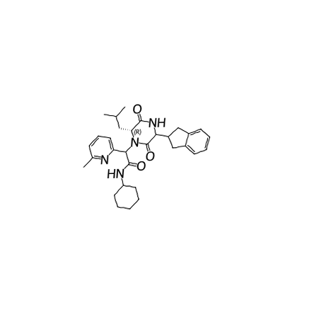 Cc1cccc(C(C(=O)NC2CCCCC2)N2C(=O)C(C3Cc4ccccc4C3)NC(=O)[C@H]2CC(C)C)n1